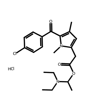 CCN(CC)C(C)OC(=O)Cc1cc(C)c(C(=O)c2ccc(Cl)cc2)n1C.Cl